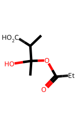 CCC(=O)OC(C)(O)C(C)C(=O)O